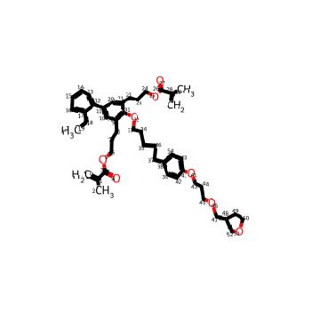 C=C(C)C(=O)OCCCc1cc(-c2ccccc2CC)cc(CCCOC(=O)C(=C)C)c1OCCCCCc1ccc(OCCCOCC2CCOC2)cc1